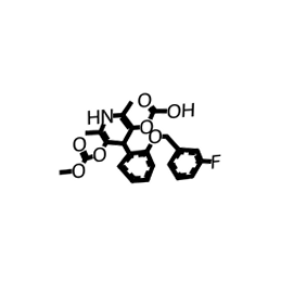 COC(=O)OC1=C(C)NC(C)=C(OC(=O)O)C1c1ccccc1OCc1cccc(F)c1